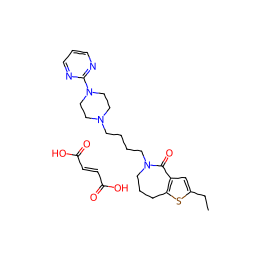 CCc1cc2c(s1)CCCN(CCCCN1CCN(c3ncccn3)CC1)C2=O.O=C(O)C=CC(=O)O